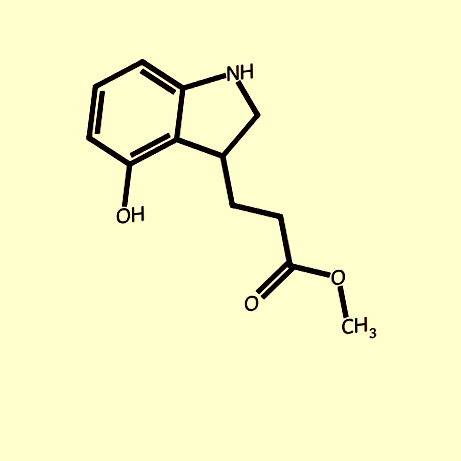 COC(=O)CCC1CNc2cccc(O)c21